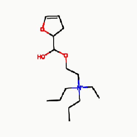 CCC[N+](CC)(CCC)CCOC(O)C1CC=CO1